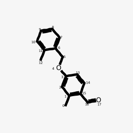 Cc1cc(OCc2ccccc2C)ccc1C=O